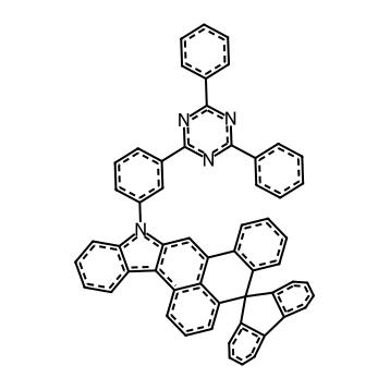 c1ccc(-c2nc(-c3ccccc3)nc(-c3cccc(-n4c5ccccc5c5c6cccc7c6c(cc54)-c4ccccc4C74c5ccccc5-c5ccccc54)c3)n2)cc1